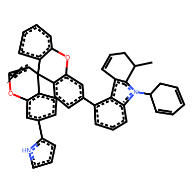 CC1CC=Cc2c1n(C1C=CC=CC1)c1cccc(-c3ccc4c(c3)Oc3ccccc3C43c4ccccc4Oc4cc(-c5ccc[nH]5)ccc43)c21